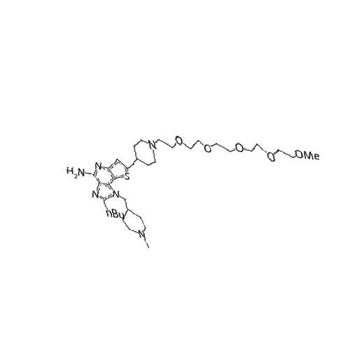 CCCCc1nc2c(N)nc3cc(C4CCN(CCOCCOCCOCCOCCOC)CC4)sc3c2n1CC1CCN(C)CC1